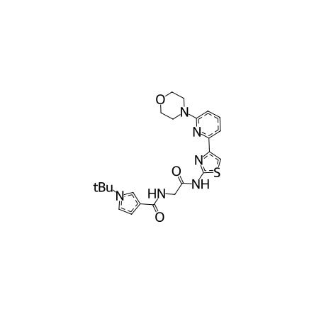 CC(C)(C)n1ccc(C(=O)NCC(=O)Nc2nc(-c3cccc(N4CCOCC4)n3)cs2)c1